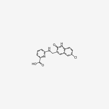 O=C(O)c1cccc(NCc2cc3cc(Cl)ccc3[nH]c2=O)n1